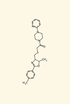 Cc1ccc(C2=NC(CSCC(=O)N3CCN(c4ccccn4)CC3)C(C)O2)cc1